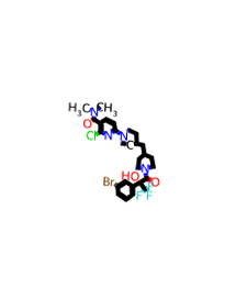 CN(C)C(=O)c1ccc(N2CCC(CC3CCN(C(=O)[C@](O)(c4cccc(Br)c4)C(F)(F)F)CC3)CC2)nc1Cl